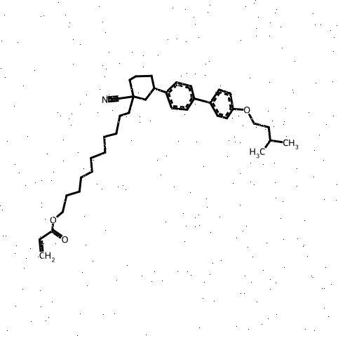 C=CC(=O)OCCCCCCCCCCCC1(C#N)CCCC(c2ccc(-c3ccc(OCCC(C)C)cc3)cc2)C1